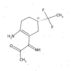 CC(=O)C(=N)C1=C(N)CC[C@H](C(C)(F)F)C1